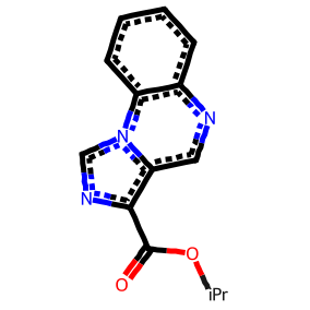 CC(C)OC(=O)c1ncn2c1cnc1ccccc12